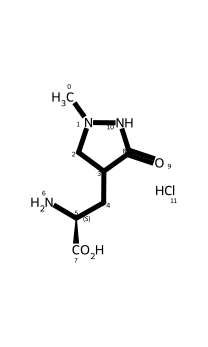 CN1CC(C[C@H](N)C(=O)O)C(=O)N1.Cl